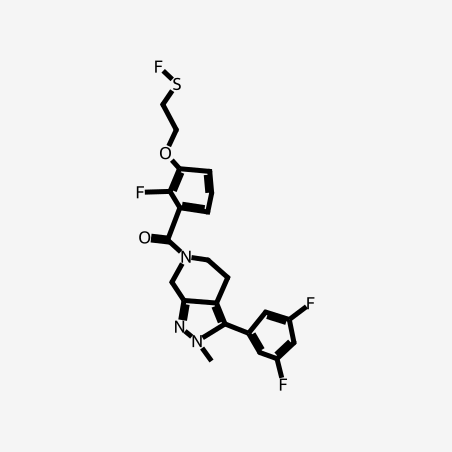 Cn1nc2c(c1-c1cc(F)cc(F)c1)CCN(C(=O)c1cccc(OCCSF)c1F)C2